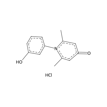 Cc1cc(=O)cc(C)n1-c1cccc(O)c1.Cl